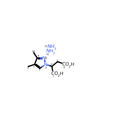 Cc1cn(C(CC(=O)O)C(=O)O)nc1C.N.N